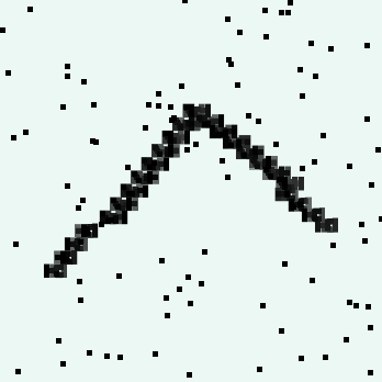 Cl.Cl.Cl.Cl.Cl.Cl.Cl.Cl.[NaH].[NaH].[NaH].[NaH].[NaH].[NaH].[NaH].[NaH].[NaH].[NaH].[NaH].[NaH].[NaH].[NaH].[NaH].[NaH]